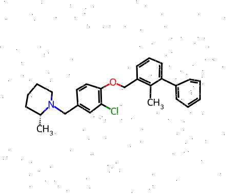 Cc1c(COc2ccc(CN3CCCC[C@H]3C)cc2Cl)cccc1-c1ccccc1